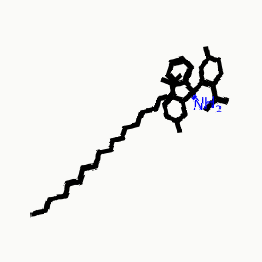 CCCCCCCCCCCCCCCCCCc1ccccc1C(N)(C1CC(C)CCC1C(C)C)C1CC(C)CCC1C(C)C